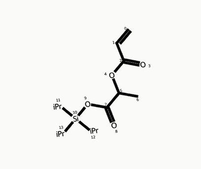 C=CC(=O)OC(C)C(=O)O[Si](C(C)C)(C(C)C)C(C)C